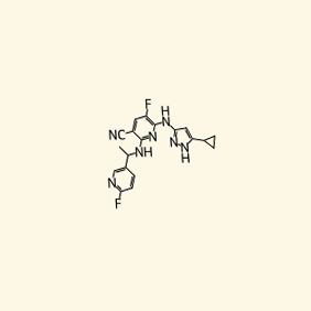 CC(Nc1nc(Nc2cc(C3CC3)[nH]n2)c(F)cc1C#N)c1ccc(F)nc1